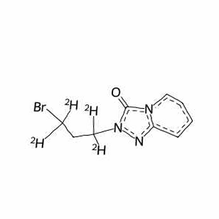 [2H]C([2H])(Br)CC([2H])([2H])n1nc2ccccn2c1=O